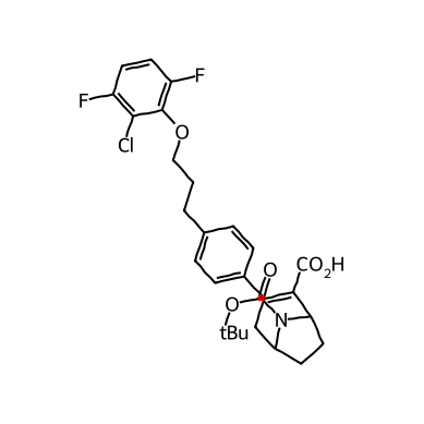 CC(C)(C)OC(=O)N1C2CCC1C(C(=O)O)=C(c1ccc(CCCOc3c(F)ccc(F)c3Cl)cc1)C2